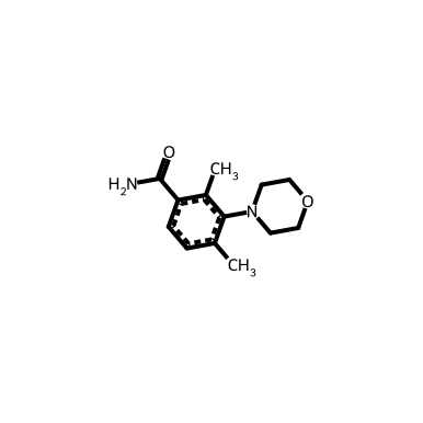 Cc1ccc(C(N)=O)c(C)c1N1CCOCC1